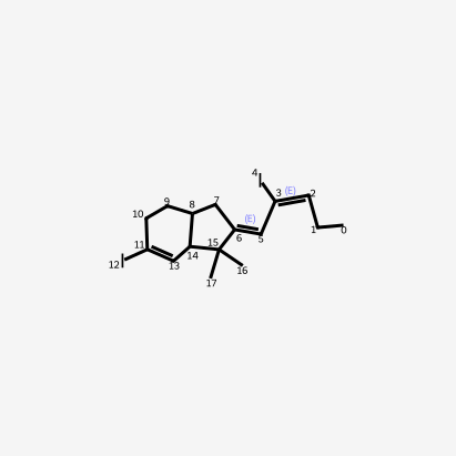 CC/C=C(I)\C=C1/CC2CCC(I)=CC2C1(C)C